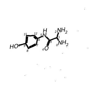 NC(N)C(=O)Nc1ccc(O)cc1